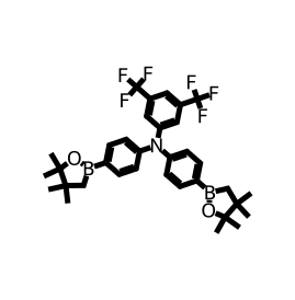 CC1(C)CB(c2ccc(N(c3ccc(B4CC(C)(C)C(C)(C)O4)cc3)c3cc(C(F)(F)F)cc(C(F)(F)F)c3)cc2)OC1(C)C